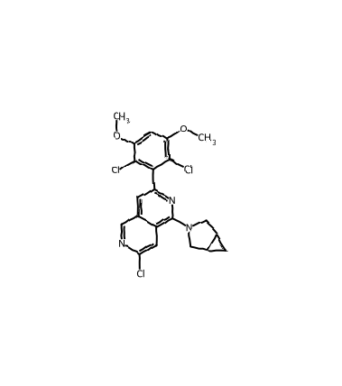 COc1cc(OC)c(Cl)c(-c2cc3cnc(Cl)cc3c(N3CC4CC4C3)n2)c1Cl